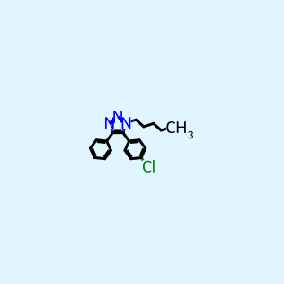 CCCCCn1nnc(-c2ccccc2)c1-c1ccc(Cl)cc1